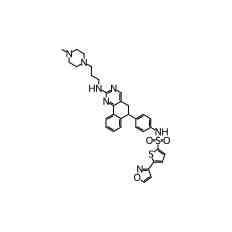 CN1CCN(CCCNc2ncc3c(n2)-c2ccccc2C(c2ccc(NS(=O)(=O)c4ccc(-c5ccon5)s4)cc2)C3)CC1